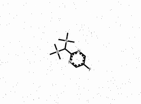 CS(C)(C)C(c1ncc(F)cn1)S(C)(C)C